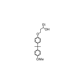 CCC(O)CCOc1ccc(C(C)(C)c2ccc(OC)cc2)cc1